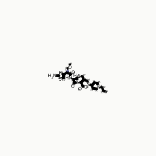 CO/N=C(\C(=O)N[C@@H]1C(=O)N2C(C(=O)[O-])=C(CSc3cc[n+](CCF)cc3)CS[C@H]12)c1csc(N)n1